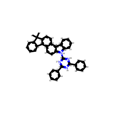 CC1(C)c2ccccc2-c2c1ccc1c2ccc2c1c1ccccc1n2-c1nc(-c2ccccc2)nc(-c2ccccc2)n1